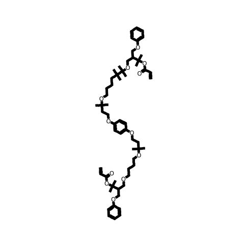 C=CC(=O)OC(C)(C)C(COCCCCOC(C)(C)CCOc1ccc(OCCC(C)(C)OCCCCC(C)(C)C(C)(C)OCC(COc2ccccc2)C(C)(C)OC(=O)C=C)cc1)COc1ccccc1